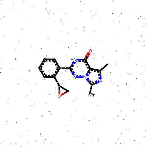 CCCc1nc(C)c2c(=O)[nH]c(-c3ccccc3C3CO3)nn12